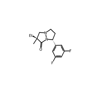 CC[C@@]1(C)CN2CC[C@H](c3cc(F)cc(F)c3)N2C1=O